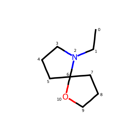 CCN1CCCC12CCCO2